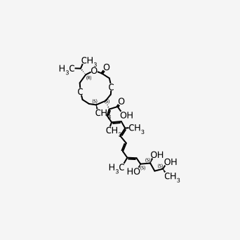 CC(=CC=CC(C)=C[C@H](O)[C@@H](O)C[C@H](C)O)C=C(C)C=C(C(=O)O)[C@H]1CCCC(=O)O[C@@H](C(C)C)CCCC[C@@H]1C